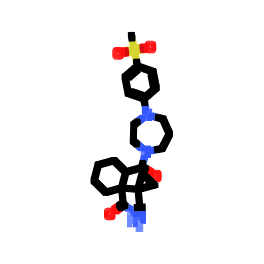 CS(=O)(=O)c1ccc(N2CCCN(C(=O)C3CCCCC3(C(N)=O)C3(C#N)CC3)CC2)cc1